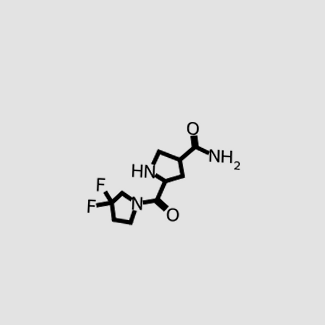 NC(=O)C1CNC(C(=O)N2CCC(F)(F)C2)C1